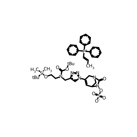 CC(C)(C)OC(=O)N(CCO[Si](C)(C)C(C)(C)C)Cc1cn(C2=CC3CN(C2)C(=O)N3OS(=O)(=O)[O-])nn1.CC=C[P+](c1ccccc1)(c1ccccc1)c1ccccc1